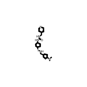 CN(C)c1ccc(CNSc2ccc(NC(=O)NCc3ccncc3)cc2)cc1